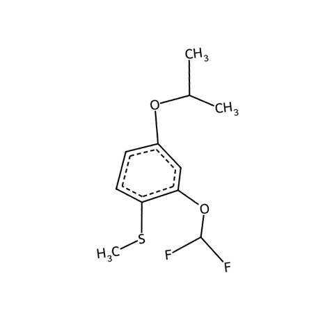 CSc1ccc(OC(C)C)cc1OC(F)F